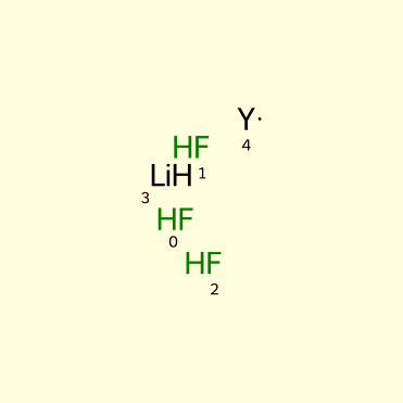 F.F.F.[LiH].[Y]